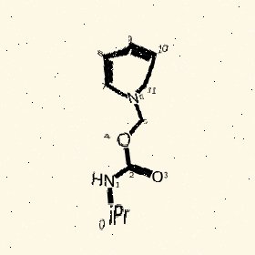 CC(C)NC(=O)OCN1C=CC=CC1